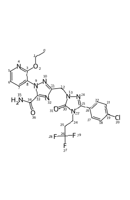 CCOc1ncccc1-n1nc(Cn2nc(-c3ccc(Cl)cc3)n(CCC(F)(F)F)c2=O)nc1C(N)=O